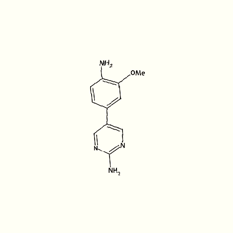 COc1cc(-c2cnc(N)nc2)ccc1N